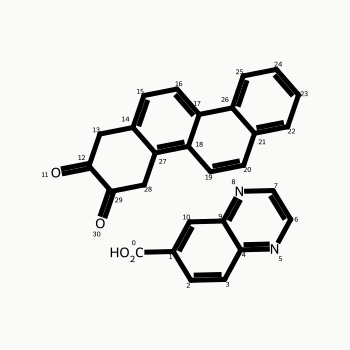 O=C(O)c1ccc2nccnc2c1.O=C1Cc2ccc3c(ccc4ccccc43)c2CC1=O